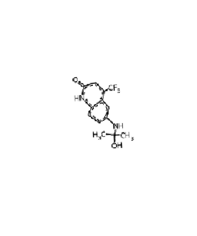 CC(C)(O)Nc1ccc2[nH]c(=O)cc(C(F)(F)F)c2c1